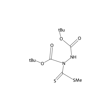 CSC(=S)N(NC(=O)OC(C)(C)C)C(=O)OC(C)(C)C